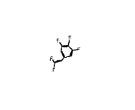 FC(F)=Cc1cc(F)c(F)c(F)c1